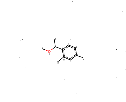 COC(C)c1ccc(C)cc1C